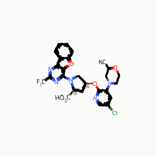 N#CC1CN(c2cc(Cl)cnc2O[C@H]2C[C@@H](C(=O)O)N(c3nc(C(F)(F)F)nc4c3oc3ccccc34)C2)CCO1